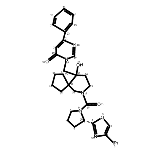 CC(C)c1coc([C@@H]2CCCN2C(=O)N2CCC(O)(Cn3cnc(-c4ccccc4)cc3=O)C3(CCCC3)C2)n1